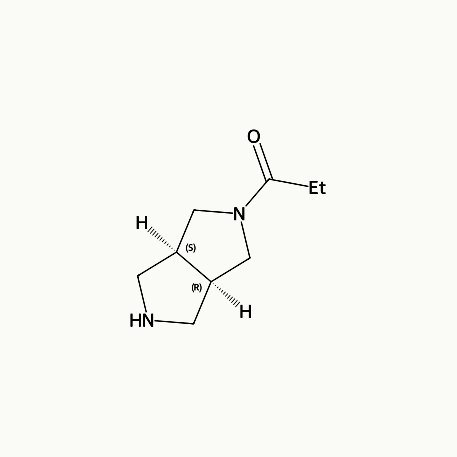 CCC(=O)N1C[C@H]2CNC[C@H]2C1